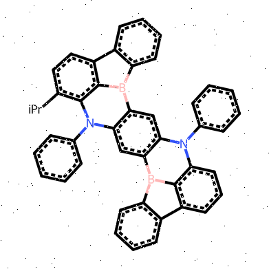 CC(C)c1ccc2c3c1N(c1ccccc1)c1cc4c(cc1B3c1ccccc1-2)N(c1ccccc1)c1cccc2c1B4c1ccccc1-2